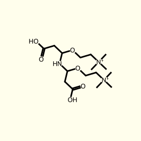 C[N+](C)(C)CCOC(CC(=O)O)NC(CC(=O)O)OCC[N+](C)(C)C